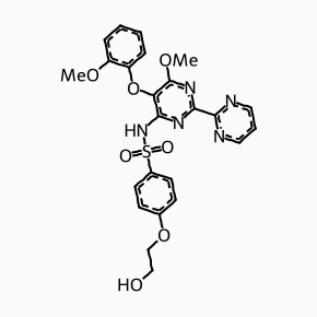 COc1ccccc1Oc1c(NS(=O)(=O)c2ccc(OCCO)cc2)nc(-c2ncccn2)nc1OC